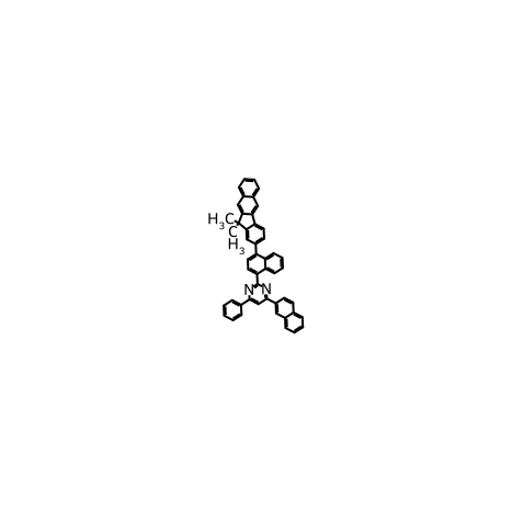 CC1(C)c2cc(-c3ccc(-c4nc(-c5ccccc5)cc(-c5ccc6ccccc6c5)n4)c4ccccc34)ccc2-c2cc3ccccc3cc21